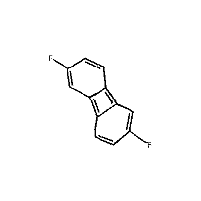 Fc1ccc2c(c1)=c1ccc(F)cc1=2